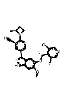 COc1cc2[nH]nc(-c3cnc(N4CC[C@@H]4C)c(C#N)c3)c2cc1O[C@H](C)c1c(Cl)cncc1Cl